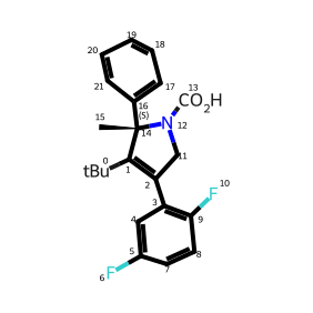 CC(C)(C)C1=C(c2cc(F)ccc2F)CN(C(=O)O)[C@@]1(C)c1ccccc1